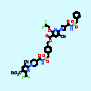 CCOC(=O)c1cc(C#N)c(N2CCC(C(=O)NS(=O)(=O)Cc3ccc(COC(=O)c4cc(C#N)c(N5CC(C(=O)NS(=O)(=O)Cc6ccccc6)C5)nc4OCC(F)F)cc3)CC2)nc1C(F)F